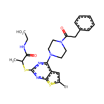 CCc1cc2c(N3CCN(C(=O)Cc4ccccc4)CC3)nc(SC(C)C(=O)NCC(=O)O)nc2s1